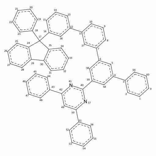 c1ccc(-c2cc(-c3cccc(-c4cccc(C5(c6ccccc6)c6ccccc6-c6ccccc65)c4)c3)cc(-c3nc(-c4ccccc4)cc(-c4ccccc4)n3)c2)cc1